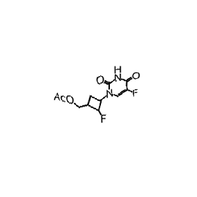 CC(=O)OCC1CC(n2cc(F)c(=O)[nH]c2=O)C1F